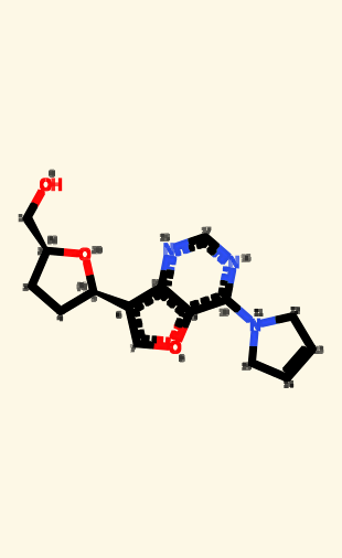 OC[C@@H]1CC[C@H](c2coc3c(N4CC=CC4)ncnc23)O1